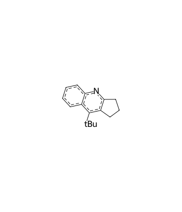 CC(C)(C)c1c2c(nc3ccccc13)CCC2